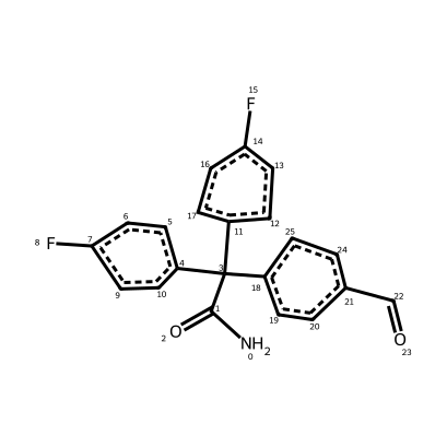 NC(=O)C(c1ccc(F)cc1)(c1ccc(F)cc1)c1ccc(C=O)cc1